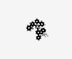 CC1(C)c2ccccc2-c2c(-c3nc(-c4ccccc4-c4ccccc4)nc(-c4cccc5c4sc4ccccc45)n3)ccc(-c3ccccc3)c21